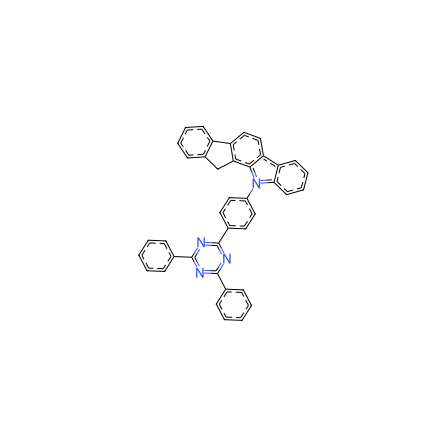 c1ccc(-c2nc(-c3ccccc3)nc(-c3ccc(-n4c5ccccc5c5ccc6c(c54)Cc4ccccc4-6)cc3)n2)cc1